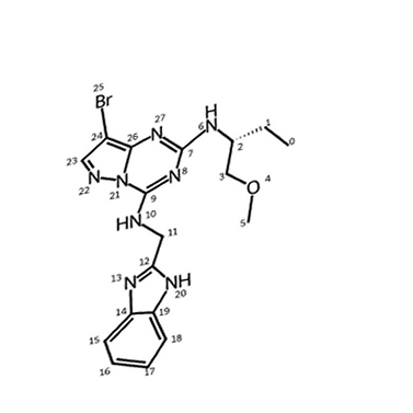 CC[C@H](COC)Nc1nc(NCc2nc3ccccc3[nH]2)n2ncc(Br)c2n1